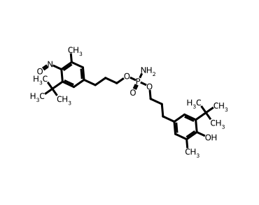 Cc1cc(CCCOP(N)(=O)OCCCc2cc(C)c(N=O)c(C(C)(C)C)c2)cc(C(C)(C)C)c1O